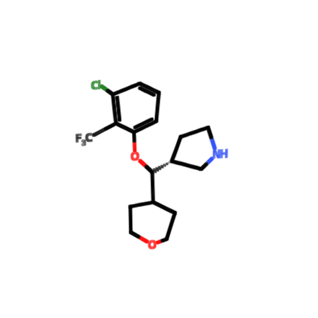 FC(F)(F)c1c(Cl)cccc1OC(C1CCOCC1)[C@@H]1CCNC1